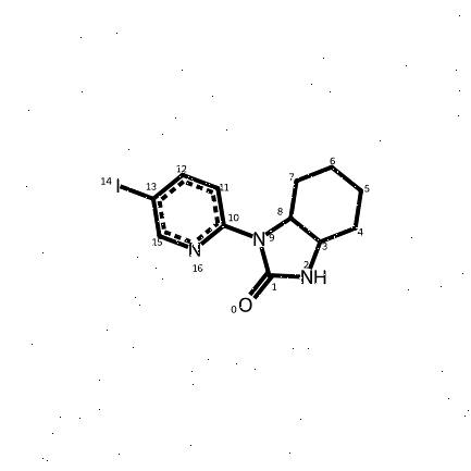 O=C1NC2CCCCC2N1c1ccc(I)cn1